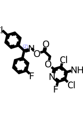 Nc1c(Cl)c(F)nc(OCC(=O)O/N=C(/c2ccc(Cl)cc2)c2cccc(F)c2)c1Cl